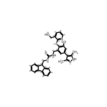 Cc1n[nH]c(C)c1-c1cc(Cl)c(Sc2ncccc2CO)c(CNC(=O)OCC2c3ccccc3-c3ccccc32)c1